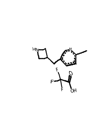 Cc1ccc(CC2CNC2)cn1.O=C(O)C(F)(F)F